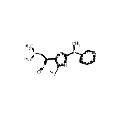 Cc1nc(N(C)c2cccnc2)sc1C(=C=O)CN(C)C